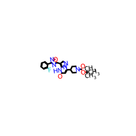 CC(C)(C)OC(=O)N1CCC(c2cc(=O)[nH]c3c(-c4nc(-c5ccccc5F)no4)cnn23)CC1